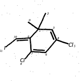 CC1(C)C=C(Cl)C=C(Cl)/C1=C\I